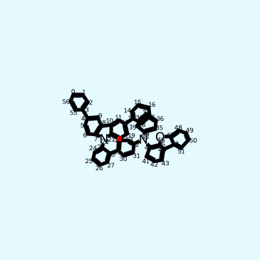 c1ccc(-c2ccc3c(c2)c2cc(-c4ccccc4)ccc2n3-c2ccccc2-c2ccc(N(c3ccccc3)c3cccc4c3oc3ccccc34)cc2)cc1